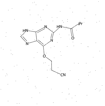 CC(C)C(=O)Nc1nc(OCCC#N)c2nc[nH]c2n1